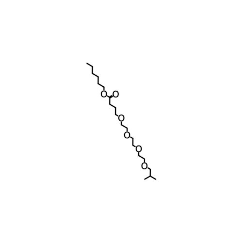 CCCCCCOC(=O)CCCOCCOCCOCCOCC(C)C